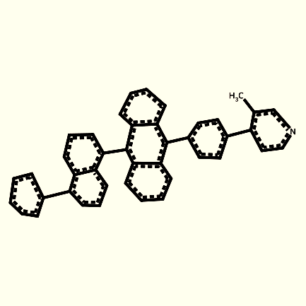 Cc1cnccc1-c1ccc(-c2c3ccccc3c(-c3cccc4c(-c5ccccc5)cccc34)c3ccccc23)cc1